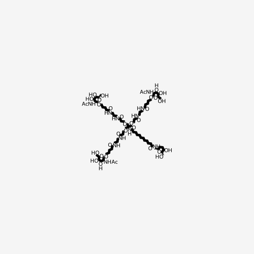 CC(=O)NC1C(OCCCCC(=O)NCCCNC(=O)CCOCC(COCCC(=O)NCCCNC(=O)CCCCOC2OC(CO)C(O)C(O)C2NC(C)=O)(COCCC(=O)NCCCNC(=O)CCCCOC2O[C@H](CO)C(O)C(O)C2NC(C)=O)NC(=O)CCCCCCCCCCC(=O)NC[C@H]2CC[C@H](O)[C@@H](CO)O2)OC(CO)C(O)C1O